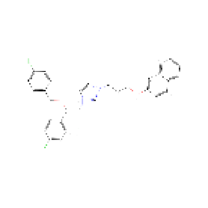 Clc1ccc(COC(C[n+]2ccn(CCCOc3ccc4ccccc4c3)c2)c2ccc(Cl)cc2Cl)cc1